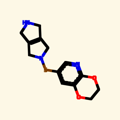 c1nc2c(cc1SN1CC3=C(CNC3)C1)OCCO2